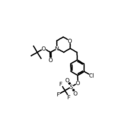 CC(C)(C)OC(=O)N1CCOC(Cc2ccc(OS(=O)(=O)C(F)(F)F)c(Cl)c2)C1